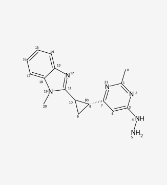 Cc1nc(NN)cc([C@@H]2CC2c2nc3ccccc3n2C)n1